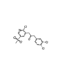 CS(=O)(=O)c1cnc(Cl)c(CC(=O)Cc2ccc(Cl)c(Cl)c2)c1